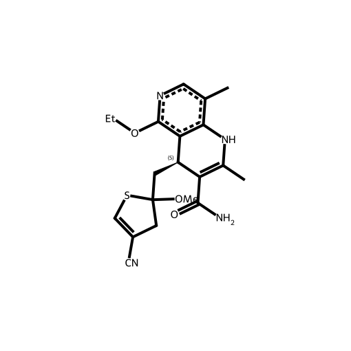 CCOc1ncc(C)c2c1[C@H](CC1(OC)CC(C#N)=CS1)C(C(N)=O)=C(C)N2